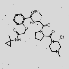 CC[C@@H]1CN(C)CCN1C(=O)[C@H]1CCCN1C(=O)[C@@H](CC(C)C)NC(=O)c1ccccc1OCC(=O)NC1(C)CC1